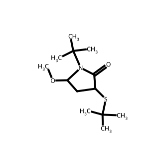 COC1CC(SC(C)(C)C)C(=O)N1C(C)(C)C